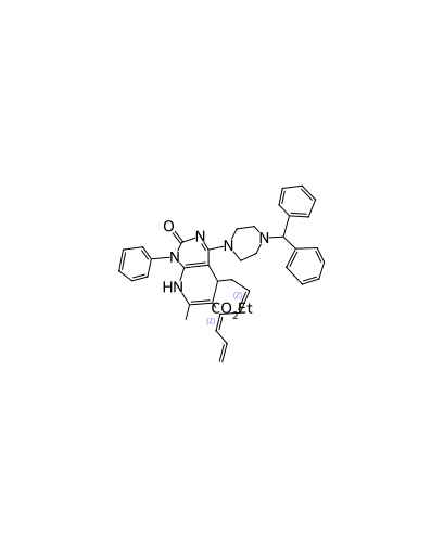 C=C/C=C\C=C/CC1C(C(=O)OCC)=C(C)Nc2c1c(N1CCN(C(c3ccccc3)c3ccccc3)CC1)nc(=O)n2-c1ccccc1